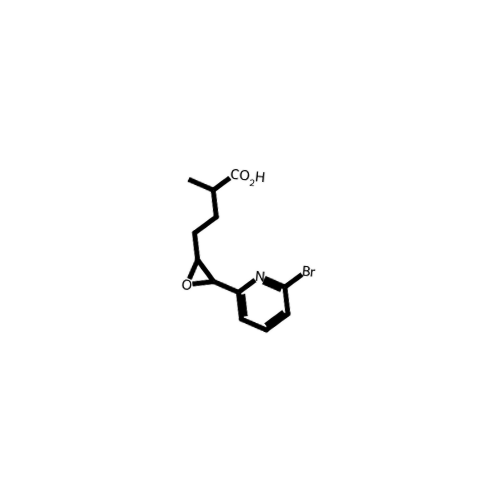 CC(CCC1OC1c1cccc(Br)n1)C(=O)O